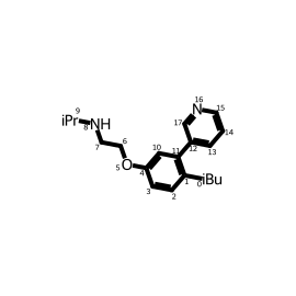 CCC(C)c1ccc(OCCNC(C)C)cc1-c1cccnc1